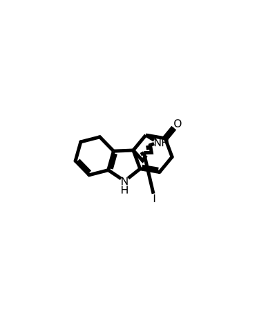 O=C1CC=C2NC3=C(CCC=C3)C23C=C(I)C=CNC13